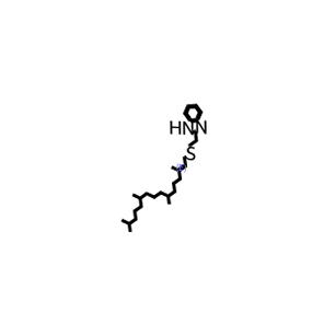 C/C(=C\CSCCc1nc2ccccc2[nH]1)CCCC(C)CCCC(C)CCCC(C)C